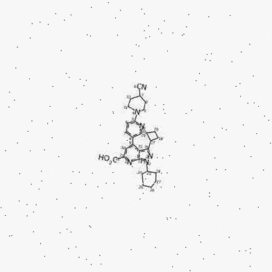 N#CC1CCN(c2ccc(-c3cc(C(=O)O)nc4c3c(C3CCC3)nn4C3CCCCC3)cn2)CC1